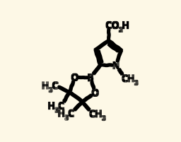 Cn1cc(C(=O)O)cc1B1OC(C)(C)C(C)(C)O1